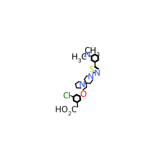 CN(C)c1cccc(-c2cnc(N3CCC(CCOc4cc(Cl)cc(CC(=O)O)c4)(N4CCCC4)CC3)s2)c1